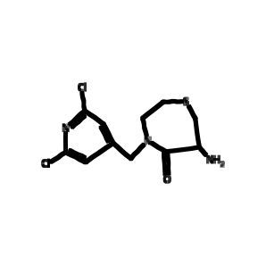 NC1CSCCN(Cc2cc(Cl)nc(Cl)c2)C1=O